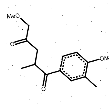 COCC(=O)CC(C)C(=O)c1ccc(OC)c(C)c1